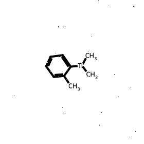 Cc1cccc[c]1[Tl]([CH3])[CH3]